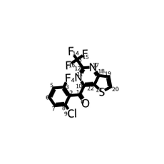 O=C(c1c(F)cccc1Cl)c1nc(C(F)(F)F)nc2ccsc12